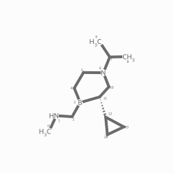 CNCB1CCN(C(C)C)C[C@@H]1C1CC1